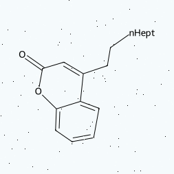 CCCCCCCCCc1cc(=O)oc2c[c]ccc12